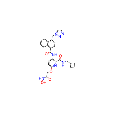 O=C(COc1ccc(NC(=O)c2ccc(Cn3ccnn3)c3ccccc23)c(C(=O)NCC2CCC2)n1)NO